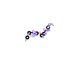 CN1CCC(NC(=O)c2cc3c(Oc4cnc(NC(=O)c5cccn(-c6ccc(F)cc6)c5=O)nc4)ccnc3cn2)CC1